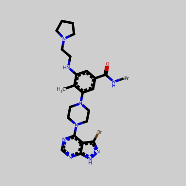 Cc1c(NCCN2CCCC2)cc(C(=O)NC(C)C)cc1N1CCN(c2ncnc3[nH]nc(Br)c23)CC1